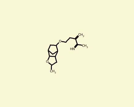 C=C(CCOC1CC2CC1C1CC(C)OC21)C(C)=N